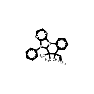 C=CC1(C)c2ccccc2N2c3nccnc3N(c3ccccc3)C2C1(C)C